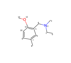 CCN(C)Cc1cc(C)ccc1OC